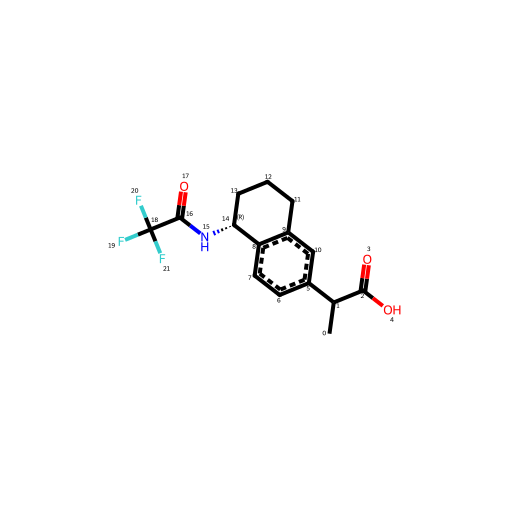 CC(C(=O)O)c1ccc2c(c1)CCC[C@H]2NC(=O)C(F)(F)F